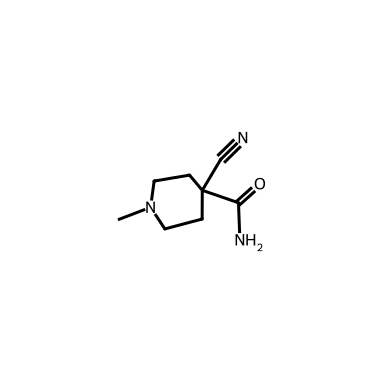 CN1CCC(C#N)(C(N)=O)CC1